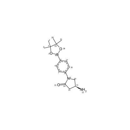 CC1(C)OB(c2ccc(N3C[C@@H](N)CC3=O)cc2)OC1(C)C